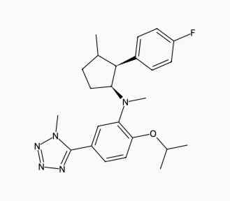 CC(C)Oc1ccc(-c2nnnn2C)cc1N(C)[C@H]1CCC(C)[C@H]1c1ccc(F)cc1